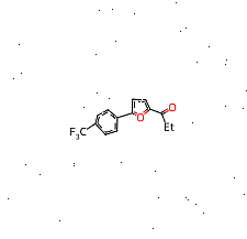 CCC(=O)c1ccc(-c2ccc(C(F)(F)F)cc2)o1